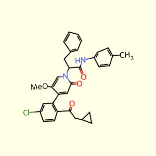 COc1cn(C(Cc2ccccc2)C(=O)Nc2ccc(C)cc2)c(=O)cc1-c1cc(Cl)ccc1C(=O)CC1CC1